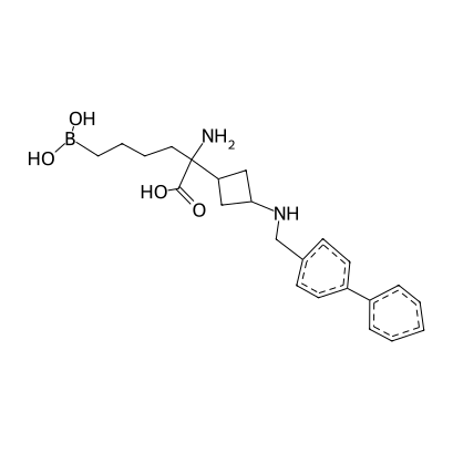 NC(CCCCB(O)O)(C(=O)O)C1CC(NCc2ccc(-c3ccccc3)cc2)C1